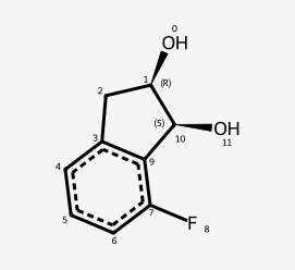 O[C@@H]1Cc2cccc(F)c2[C@@H]1O